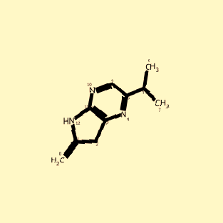 C=C1Cc2nc(C(C)C)cnc2N1